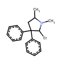 CCC1N(C)C(C)CC1(c1ccccc1)c1ccccc1